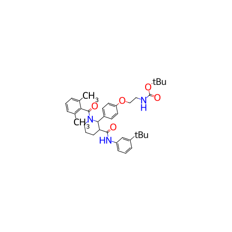 Cc1cccc(C)c1C(=O)N1CCCC(C(=O)Nc2cccc(C(C)(C)C)c2)C1c1ccc(OCCNC(=O)OC(C)(C)C)cc1